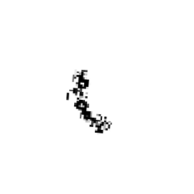 COC(=O)[C@H](C(C)C)N(C)C(=O)c1cc(-c2ccc(NC(=O)Nc3cccc(C(F)(F)F)c3)cc2)no1